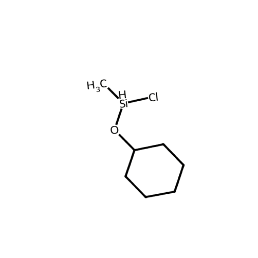 C[SiH](Cl)OC1CCCCC1